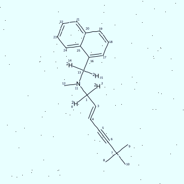 [2H]C([2H])(/C=C/C#CC(C)(C)C)N(C)C([2H])([2H])c1cccc2ccccc12